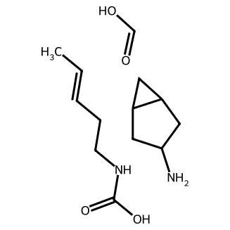 CC=CCCNC(=O)O.NC1CC2CC2C1.O=CO